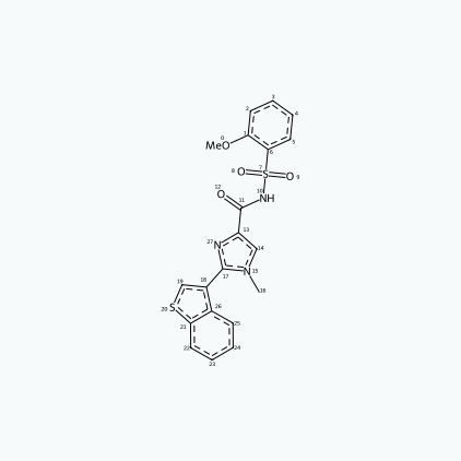 COc1ccccc1S(=O)(=O)NC(=O)c1cn(C)c(-c2csc3ccccc23)n1